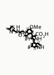 COc1cc(-c2c(C(=O)O)[nH]c(-c3cc(F)cc4[nH]ccc34)c2C(C)C)c2ccn(CC(=O)NCc3nc(C)cs3)c2c1